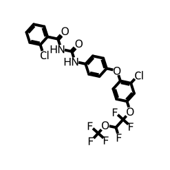 O=C(NC(=O)c1ccccc1Cl)Nc1ccc(Oc2ccc(OC(F)(F)C(F)OC(F)(F)F)cc2Cl)cc1